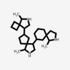 CC1NCCC12CCCC(C1CNC(C)C13CCC(C1CNC(C)C14CCC4)C3)C2